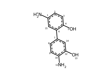 Nc1ccc(O)c(-c2ccc(N)c(O)c2)c1